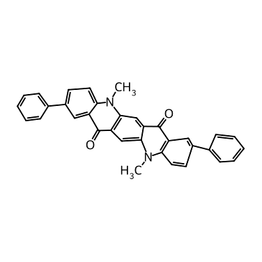 Cn1c2ccc(-c3ccccc3)cc2c(=O)c2cc3c(cc21)c(=O)c1cc(-c2ccccc2)ccc1n3C